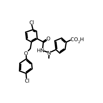 CN(NC(=O)c1cc(Cl)ccc1COc1ccc(Cl)cc1)c1ccc(C(=O)O)cc1